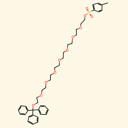 Cc1ccc(S(=O)(=O)OCCOCCOCCOCCOCCOCCOCCOCCOC(c2ccccc2)(c2ccccc2)c2ccccc2)cc1